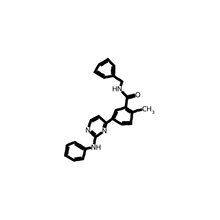 Cc1ccc(-c2ccnc(Nc3ccccc3)n2)cc1C(=O)NCc1ccccc1